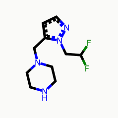 FC(F)Cn1nccc1CN1CCNCC1